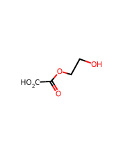 O=C(O)C(=O)OCCO